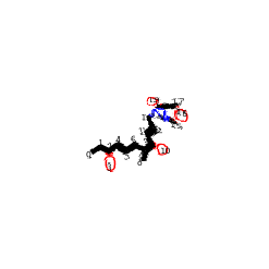 CCC(=O)/C=C/CC(C)C(=O)/C=C/CN1COCC1=O